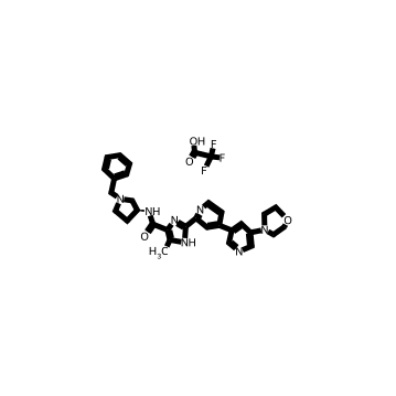 Cc1[nH]c(-c2cc(-c3cncc(N4CCOCC4)c3)ccn2)nc1C(=O)N[C@@H]1CCN(Cc2ccccc2)C1.O=C(O)C(F)(F)F